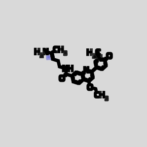 CCOc1cc(-c2ccc(=O)n(C)c2)nc2cc(C(=O)NCC/C=C(\C)N)ccc12